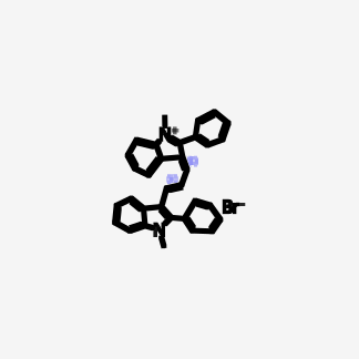 Cn1c(-c2ccccc2)c(/C=C/C=C2/C(c3ccccc3)=[N+](C)c3ccccc32)c2ccccc21.[Br-]